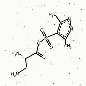 Cc1noc(C)c1S(=O)(=O)OC(=O)[C@@H](N)CN